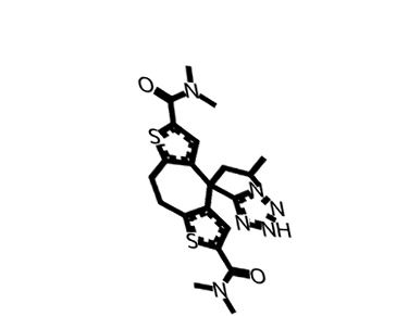 CC(C)CC1(c2nn[nH]n2)c2cc(C(=O)N(C)C)sc2CCc2sc(C(=O)N(C)C)cc21